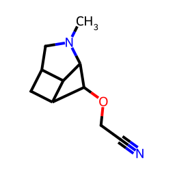 CN1CC2CC3C(OCC#N)C1C23